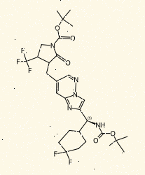 CC(C)(C)OC(=O)N[C@H](c1cn2ncc(CC3C(=O)N(C(=O)OC(C)(C)C)CC3C(F)(F)F)cc2n1)C1CCC(F)(F)CC1